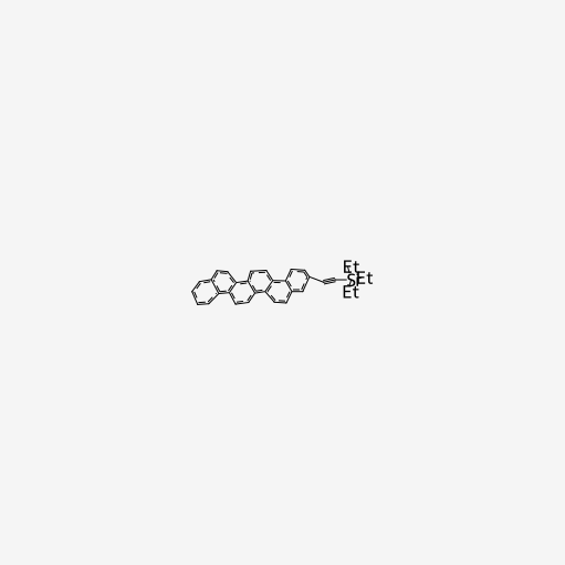 CC[Si](C#Cc1ccc2c(ccc3c2ccc2c4ccc5ccccc5c4ccc32)c1)(CC)CC